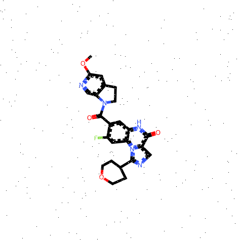 COc1cc2c(cn1)N(C(=O)c1cc3[nH]c(=O)c4cnc(C5CCOCC5)n4c3cc1F)CC2